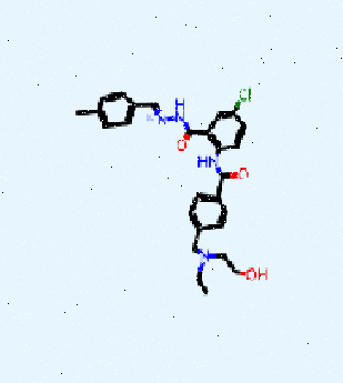 CCN(CCO)Cc1ccc(C(=O)Nc2ccc(Cl)cc2C(=O)N/N=C/c2ccc(C)cc2)cc1